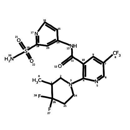 CC1CN(c2ncc(C(F)(F)F)cc2C(=O)Nc2ccnc(S(N)(=O)=O)c2)CCC1(F)F